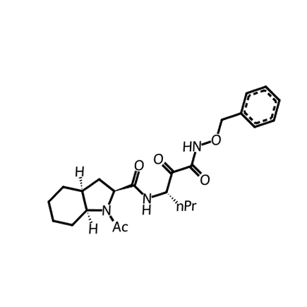 CCC[C@H](NC(=O)[C@@H]1C[C@@H]2CCCC[C@@H]2N1C(C)=O)C(=O)C(=O)NOCc1ccccc1